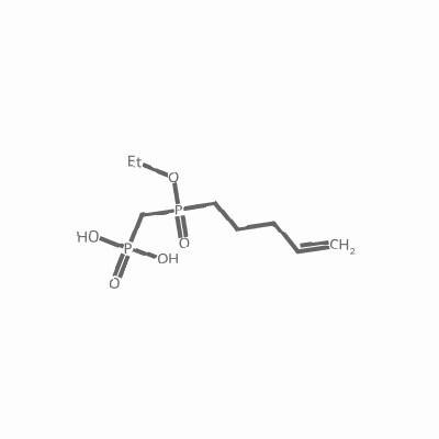 C=CCCCP(=O)(CP(=O)(O)O)OCC